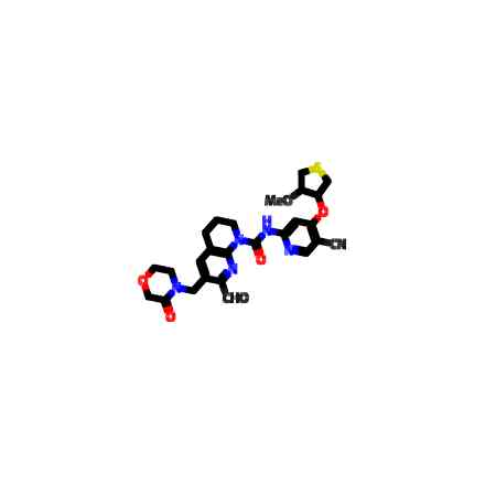 COC1CSCC1Oc1cc(NC(=O)N2CCCc3cc(CN4CCOCC4=O)c(C=O)nc32)ncc1C#N